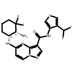 N[C@@H]1[C@H](Nc2ccn3ncc(C(=O)Nc4cscc4C(F)F)c3n2)CCCC1(F)F